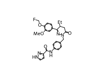 CCC1CC(=O)N(Cc2ccc(NC(=O)c3cc[nH]n3)cc2)N=C1c1ccc(OCF)c(OC)c1